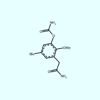 COc1c(CC(N)=O)cc(C(C)(C)C)cc1OC(N)=O